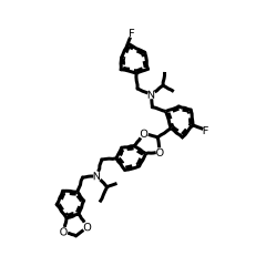 CC(C)N(Cc1ccc2c(c1)OCO2)Cc1ccc2c(c1)OC(c1cc(F)ccc1CN(Cc1ccc(F)cc1)C(C)C)O2